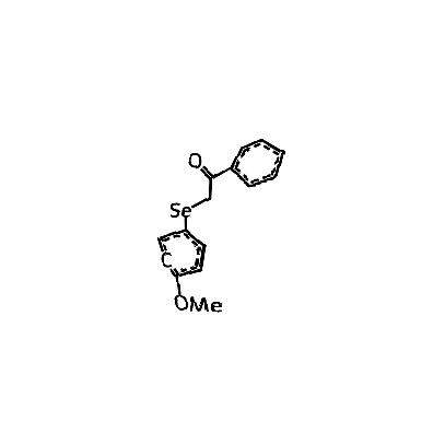 COc1ccc([Se]CC(=O)c2ccccc2)cc1